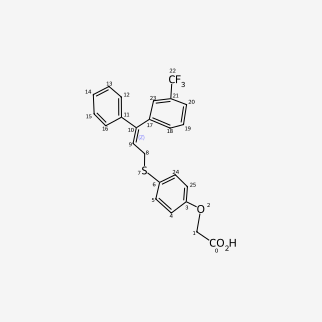 O=C(O)COc1ccc(SC/C=C(/c2ccccc2)c2cccc(C(F)(F)F)c2)cc1